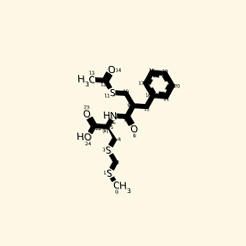 CSCSC[C@H](NC(=O)C(CSC(C)=O)Cc1ccccc1)C(=O)O